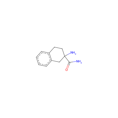 NC(=O)C1(N)CCc2ccccc2C1